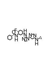 O=C(Nc1cc(Nc2nccn2-c2cc(NC3CC3)ncn2)ccc1F)c1ccccc1